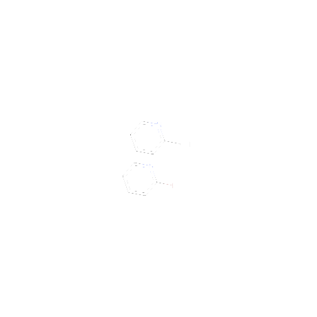 Brc1ccccn1.Cc1ccccn1